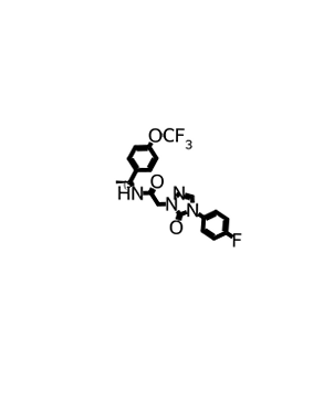 C[C@H](NC(=O)Cn1ncn(-c2ccc(F)cc2)c1=O)c1ccc(OC(F)(F)F)cc1